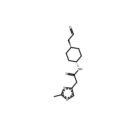 Cc1ncc(CC(=O)N[C@H]2CC[C@H](CC=O)CC2)s1